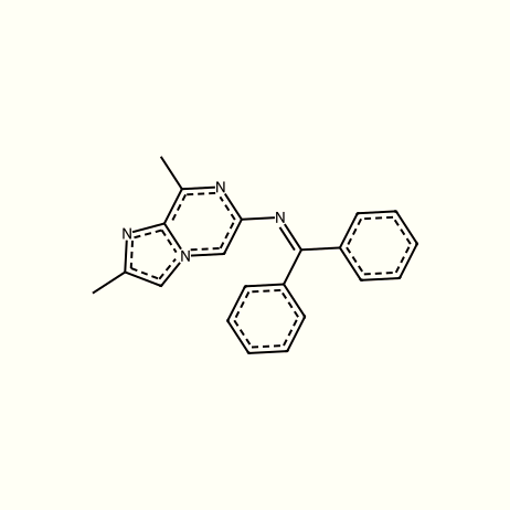 Cc1cn2cc(N=C(c3ccccc3)c3ccccc3)nc(C)c2n1